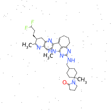 CNc1nc(NCC2CCC(C)(N3CCCC3=O)CC2)nc2c1C(c1ccc3c(n1)C[C@H](CCC(F)F)C(C)=N3)=CCCC2